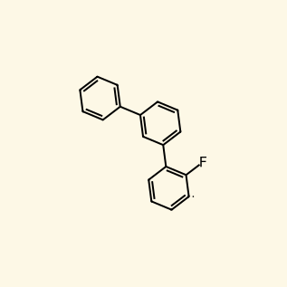 Fc1[c]cccc1-c1cccc(-c2ccccc2)c1